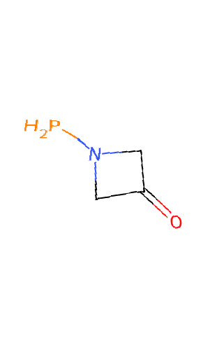 O=C1CN(P)C1